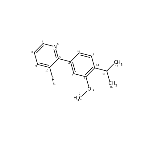 COc1cc(-c2ncccc2F)ccc1C(C)C